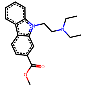 CCN(CC)CCn1c2ccccc2c2ccc(C(=O)OC)cc21